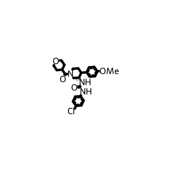 COc1ccc(C2CCN(C(=O)C3CCOCC3)C[C@H]2NC(=O)Nc2ccc(Cl)cc2)cc1